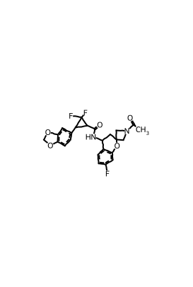 CC(=O)N1CC2(CC(NC(=O)C3C(c4ccc5c(c4)OCO5)C3(F)F)c3ccc(F)cc3O2)C1